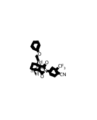 C[C@@]12CC[C@@](CCOc3ccccc3)(O1)[C@H]1C(=O)N(c3ccc(C#N)c(C(F)(F)F)c3)C(=O)[C@H]12